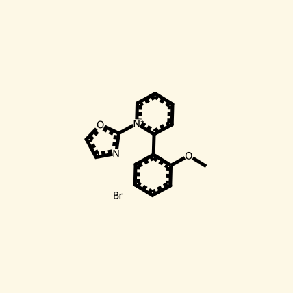 COc1ccccc1-c1cccc[n+]1-c1ncco1.[Br-]